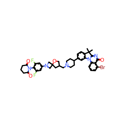 CC1(C)c2ccc(C3CCN(CC4COC5(C4)CN(c4cc(F)c(N6C(=O)CCCC6=O)c(F)c4)C5)CC3)cc2-n2c1nc(=O)c1c(Br)cccc12